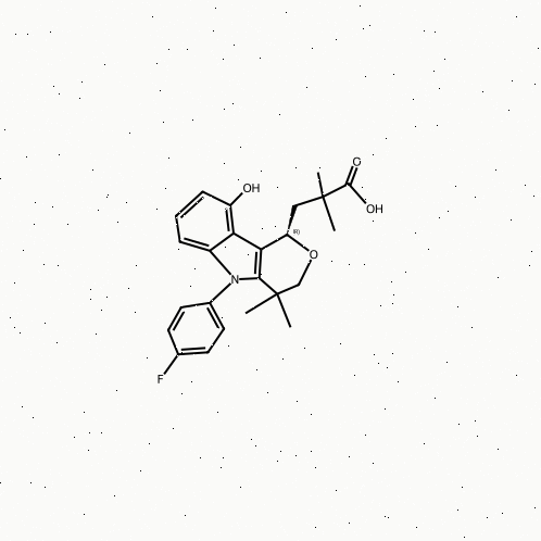 CC(C)(C[C@H]1OCC(C)(C)c2c1c1c(O)cccc1n2-c1ccc(F)cc1)C(=O)O